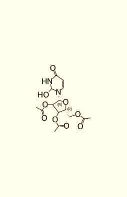 CC(=O)OC[C@H]1O[C@@H](N2C=CC(=O)NC2O)C(OC(C)=O)C1OC(C)=O